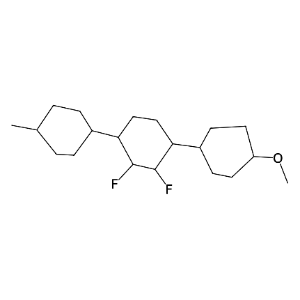 COC1CCC(C2CCC(C3CCC(C)CC3)C(F)C2F)CC1